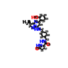 Bc1cnn2c(NCc3ccc(CNC(=O)C4CCC(=O)N4)cc3)cc(-c3ccccc3O)nc12